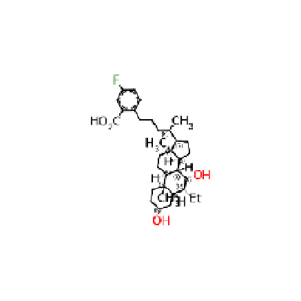 CC[C@H]1[C@@H](O)[C@@H]2[C@H](CC[C@]3(C)[C@@H]([C@H](C)CCCc4ccc(F)cc4C(=O)O)CC[C@@H]23)[C@@]2(C)CC[C@@H](O)C[C@@H]12